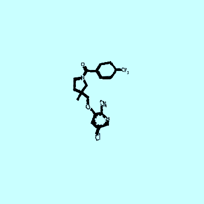 CC1(COc2cc(Cl)cnc2C#N)CCN(C(=O)C2CCC(C(F)(F)F)CC2)C1